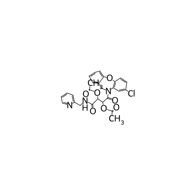 CC(=O)OC(C(=O)NCc1ccccn1)C(OC(C)=O)C(=O)N1Cc2ccccc2Oc2ccc(Cl)cc21